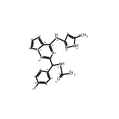 Cc1cc(Nc2nc(C(NC(=O)C(F)(F)F)c3ccc(F)cc3)nn3cccc23)n[nH]1